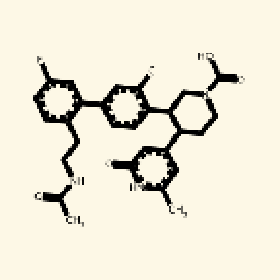 CC(=O)NCCc1ccc(F)cc1-c1ccc(C2CN(C(=O)O)CCC2c2cc(C)[nH]c(=O)c2)c(Cl)c1